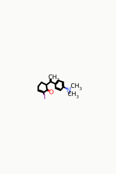 C=C(c1ccc(N(C)C)cc1)C1CCC=C(I)C1=O